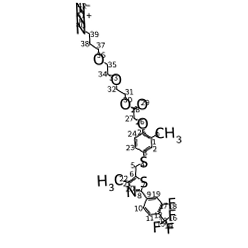 Cc1cc(SCc2sc(-c3ccc(C(F)(F)F)c(F)c3)nc2C)ccc1OCC(=O)OCCOCCOCCCN=[N+]=[N-]